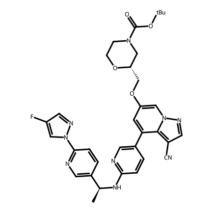 C[C@H](Nc1ccc(-c2cc(OC[C@H]3CN(C(=O)OC(C)(C)C)CCO3)cn3ncc(C#N)c23)cn1)c1ccc(-n2cc(F)cn2)nc1